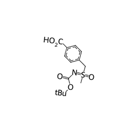 CC(C)(C)OC(=O)N=S(C)(=O)Cc1ccc(C(=O)O)cc1